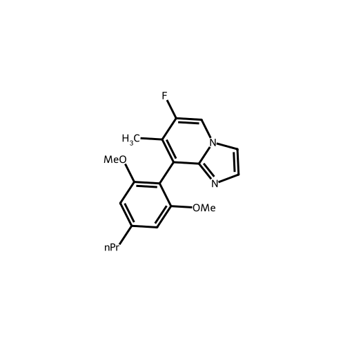 CCCc1cc(OC)c(-c2c(C)c(F)cn3ccnc23)c(OC)c1